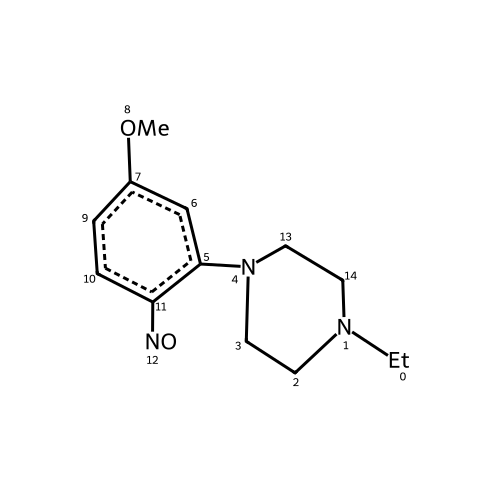 CCN1CCN(c2cc(OC)ccc2N=O)CC1